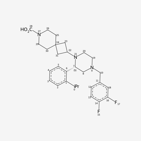 CC(C)c1ccccc1[C@H]1CN(Cc2ccc(F)c(F)c2)CCN1C1CC2(CCN(C(=O)O)CC2)C1